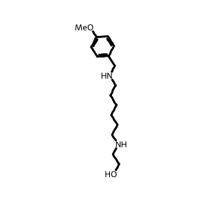 COc1ccc(CNCCCCCCNCCO)cc1